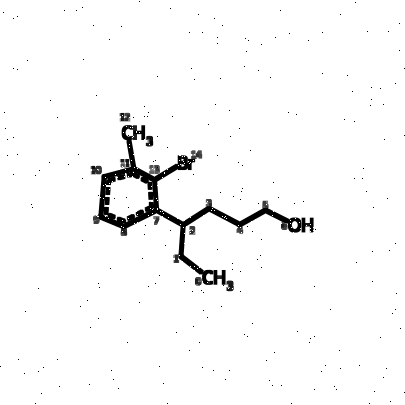 CCC(CCCO)c1cccc(C)c1Br